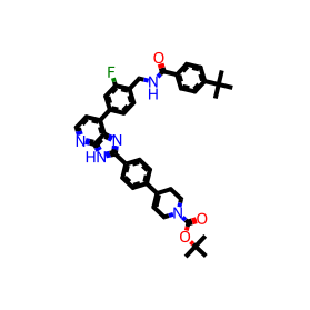 CC(C)(C)OC(=O)N1CC=C(c2ccc(-c3nc4c(-c5ccc(CNC(=O)c6ccc(C(C)(C)C)cc6)c(F)c5)ccnc4[nH]3)cc2)CC1